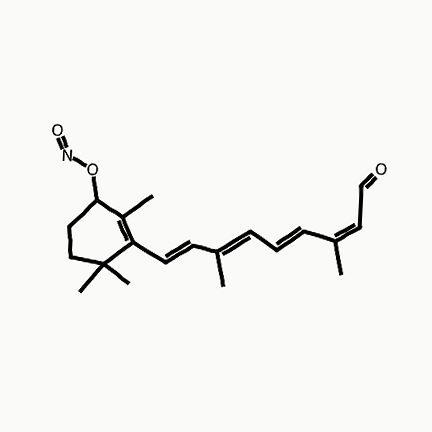 CC1=C(/C=C/C(C)=C/C=C/C(C)=C\C=O)C(C)(C)CCC1ON=O